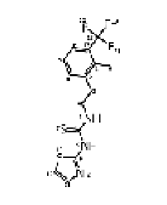 Cc1c(CCNC(=S)Nc2nccs2)cccc1C(F)(F)F